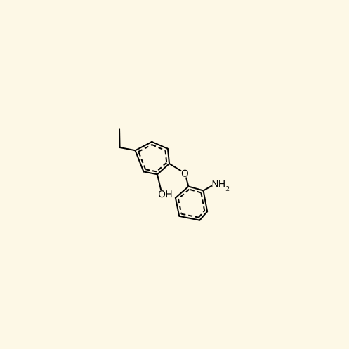 CCc1ccc(Oc2ccccc2N)c(O)c1